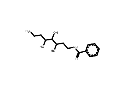 CCCC(O)C(O)C(O)CCNC(=O)c1ccccc1